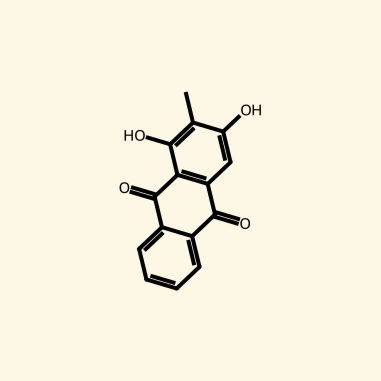 Cc1c(O)cc2c(c1O)C(=O)c1ccccc1C2=O